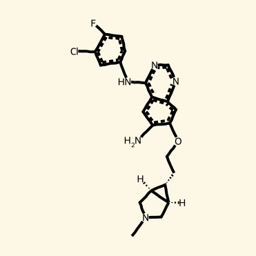 CN1C[C@@H]2[C@@H](CCOc3cc4ncnc(Nc5ccc(F)c(Cl)c5)c4cc3N)[C@@H]2C1